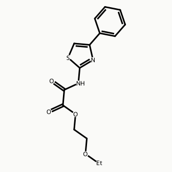 CCOCCOC(=O)C(=O)Nc1nc(-c2ccccc2)cs1